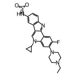 CCN1CCN(c2cc3c(cc2F)c2nc4ccc(N[SH](=O)=O)cc4c-2cn3C2CC2)CC1